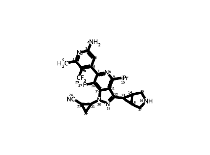 Cc1nc(N)cc(-c2nc(C(C)C)c3c(C4C5CNCC54)nn(C4CC4C#N)c3c2F)c1C(F)(F)F